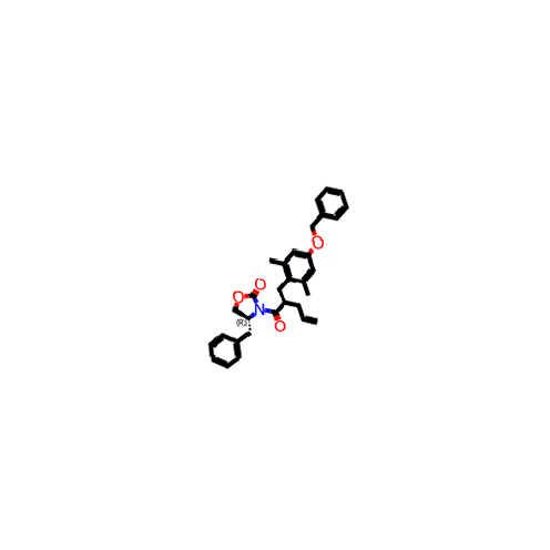 C=CCC(Cc1c(C)cc(OCc2ccccc2)cc1C)C(=O)N1C(=O)OC[C@H]1Cc1ccccc1